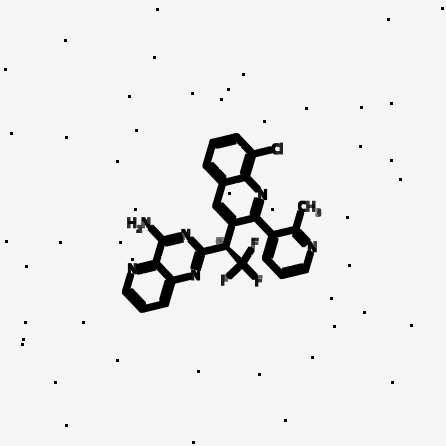 Cc1ncccc1-c1nc2c(Cl)cccc2cc1[C@H](c1nc(N)c2ncccc2n1)C(F)(F)F